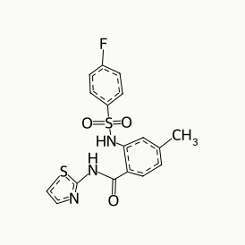 Cc1ccc(C(=O)Nc2nccs2)c(NS(=O)(=O)c2ccc(F)cc2)c1